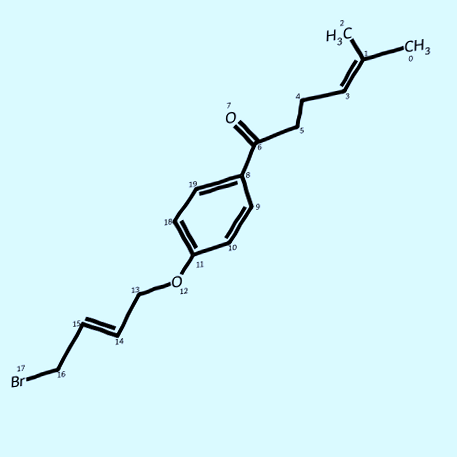 CC(C)=CCCC(=O)c1ccc(OCC=CCBr)cc1